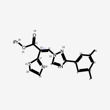 Cc1cc(C)cc(-c2ncn(/C=C(/C(=O)OC(C)C)c3nccs3)n2)c1